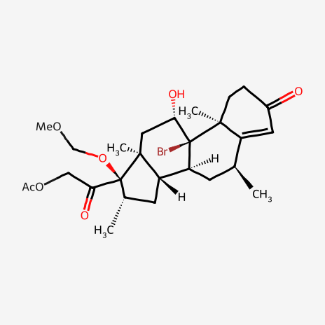 COCO[C@]1(C(=O)COC(C)=O)[C@@H](C)C[C@H]2[C@@H]3C[C@H](C)C4=CC(=O)CC[C@]4(C)[C@@]3(Br)[C@@H](O)C[C@@]21C